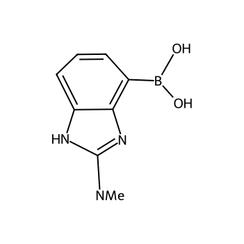 CNc1nc2c(B(O)O)cccc2[nH]1